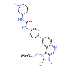 COCCn1c(=O)n(C)c2cnc3ccc(-c4ccc(NC(=O)NC5CCCN(C)C5)cc4)cc3c21